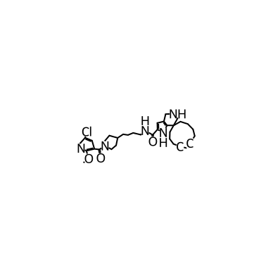 COc1ncc(Cl)cc1C(=O)N1CCC(CCCCNC(=O)c2cc3c([nH]2)C2(CCCCCCCCCC2)CNC3)CC1